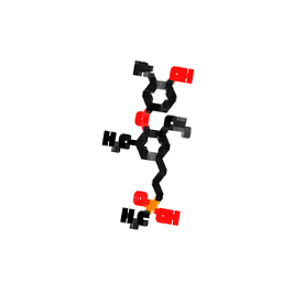 Cc1cc(CCCP(C)(=O)O)cc(C)c1Oc1ccc(O)c(C(C)C)c1